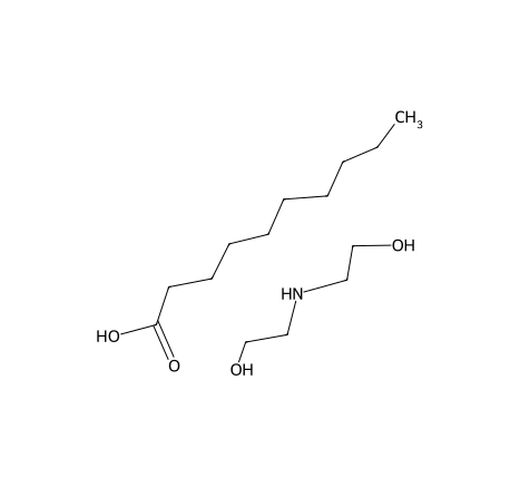 CCCCCCCCCC(=O)O.OCCNCCO